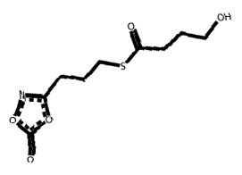 O=C(CCCO)SCCCc1noc(=O)o1